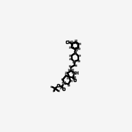 CC(C)(C)OC(=O)N1CCC2(CC1)C[C@@H](CCN1CCN(c3cccc(Cl)c3)CC1)NC2=O